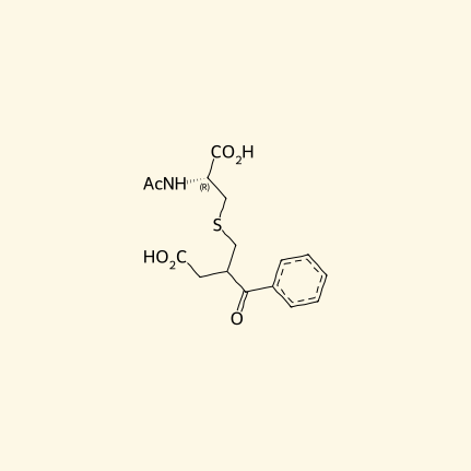 CC(=O)N[C@@H](CSCC(CC(=O)O)C(=O)c1ccccc1)C(=O)O